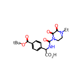 CCN1CCN(C(=O)NC(C(=O)O)c2ccc(C(=O)OC(C)(C)C)cc2)C(=O)C1=O